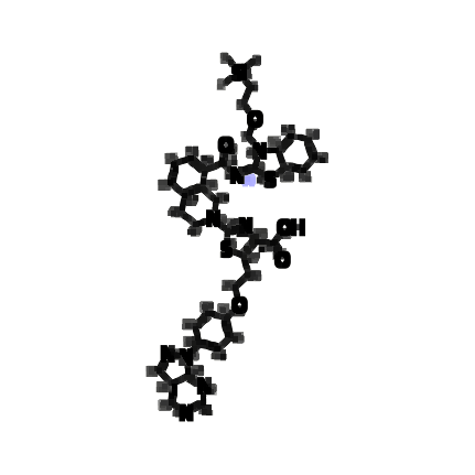 C[Si](C)(C)CCOCn1/c(=N\C(=O)c2cccc3c2CN(c2nc(C(=O)O)c(CCOc4ccc(-n5ncc6cncnc65)cc4)s2)CC3)sc2ccccc21